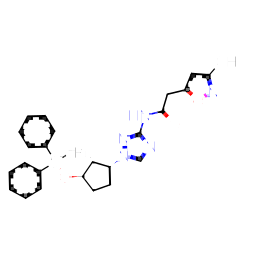 Cc1cc(CC(=O)Nc2ncn([C@H]3CC[C@@H](O[Si](c4ccccc4)(c4ccccc4)C(C)(C)C)C3)n2)on1